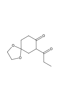 CCC(=O)C1CC2(CCC1=O)OCCO2